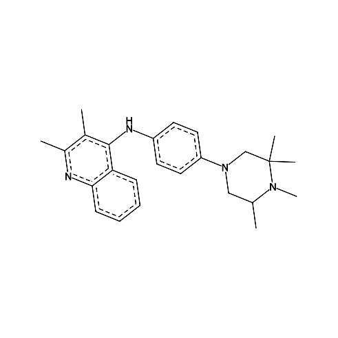 Cc1nc2ccccc2c(Nc2ccc(N3CC(C)N(C)C(C)(C)C3)cc2)c1C